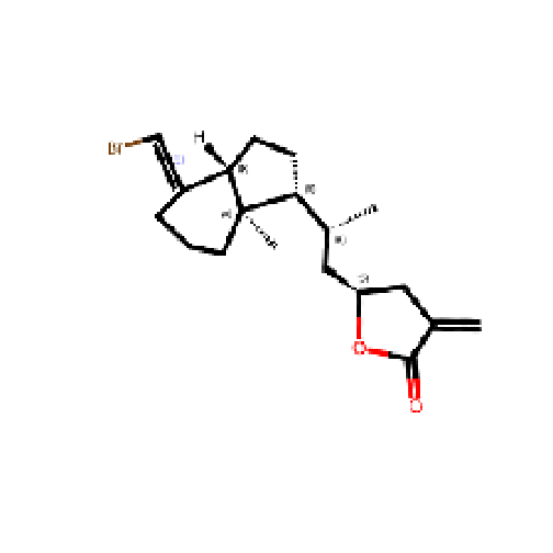 C=C1C[C@H](C[C@@H](C)[C@H]2CC[C@H]3/C(=C/Br)CCC[C@]23C)OC1=O